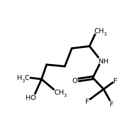 CC(CCCC(C)(C)O)NC(=O)C(F)(F)F